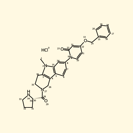 Cl.Cn1c2c(c3ccc(-n4ccc(OCc5ccccc5)cc4=O)cc31)CN(C(=O)[C@@H]1CCCN1)CC2